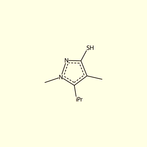 Cc1c(S)nn(C)c1C(C)C